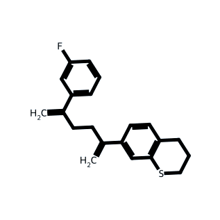 C=C(CCC(=C)c1ccc2c(c1)SCCC2)c1cccc(F)c1